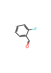 O=Cc1c[c][c]cc1F